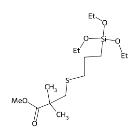 CCO[Si](CCCSCC(C)(C)C(=O)OC)(OCC)OCC